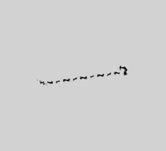 [N-]=[N+]=NCCOCCOCCOCCOCCOCCOCCOCCOCCN1C(=O)C=CC1=O